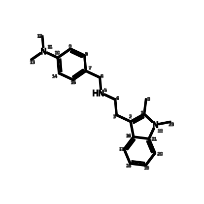 Cc1c(CCNCc2ccc(N(C)C)cc2)c2ccccc2n1C